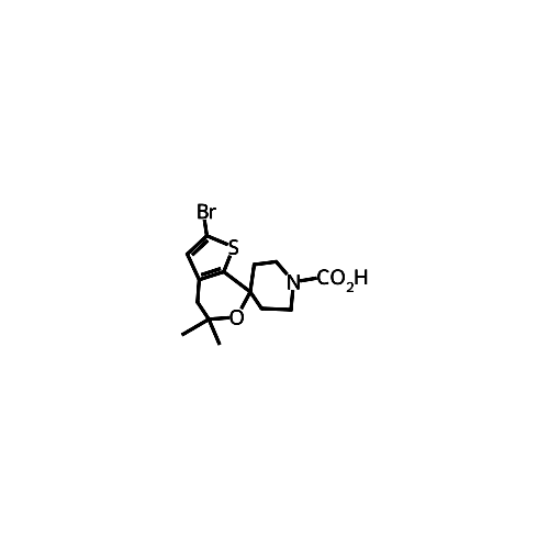 CC1(C)Cc2cc(Br)sc2C2(CCN(C(=O)O)CC2)O1